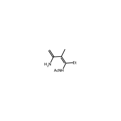 C=C(N)/C(C)=C(/CC)NC(C)=O